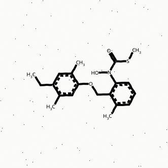 CCc1cc(C)c(OCc2c(C)cccc2N(O)C(=O)SC)cc1C